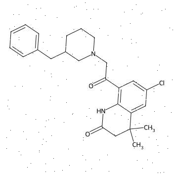 CC1(C)CC(=O)Nc2c(C(=O)CN3CCCC(Cc4ccccc4)C3)cc(Cl)cc21